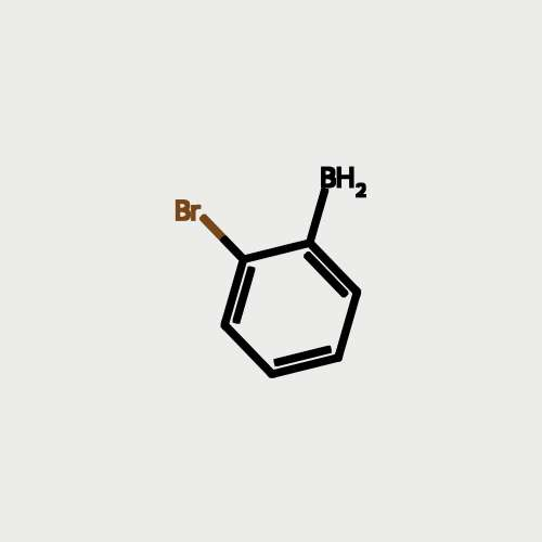 Bc1ccccc1Br